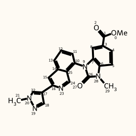 COC(=O)c1ccc2c(c1)n(-c1cccc3cc(-c4cnn(C)c4)ncc13)c(=O)n2C